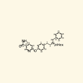 CCCCCCN(CCc1ccc(Oc2ccc(C(N)=O)cn2)cc1)Cc1ccccc1